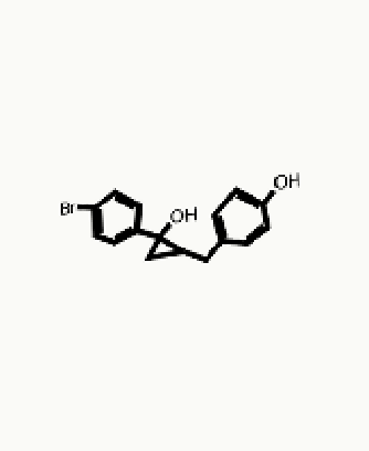 Oc1ccc(CC2CC2(O)c2ccc(Br)cc2)cc1